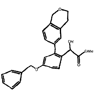 COC(=O)C(O)c1ccc(OCc2ccccc2)cc1-c1ccc2c(c1)CCOC2